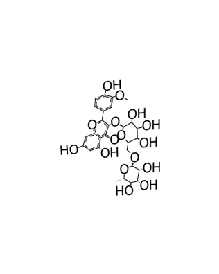 COc1cc(-c2oc3cc(O)cc(O)c3c(=O)c2O[C@@H]2O[C@H](CO[C@@H]3O[C@@H](C)[C@H](O)[C@@H](O)[C@H]3O)[C@H](O)[C@H](O)[C@H]2O)ccc1O